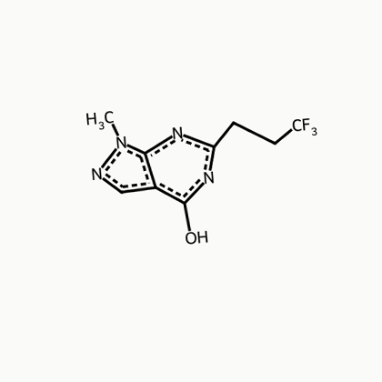 Cn1ncc2c(O)nc(CCC(F)(F)F)nc21